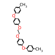 Cc1ccc(Oc2ccc(OCCOc3ccc(Oc4ccc(C)cc4)cc3)cc2)cc1